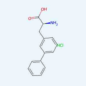 Cl.N[C@@H](Cc1cccc(-c2ccccc2)c1)C(=O)O